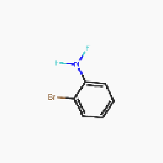 FN(F)c1ccccc1Br